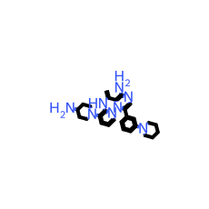 C=C(Nc1ncccc1N1CCC(N)CC1)c1nc(-c2cccc(N3CCCCC3)c2)cnc1N